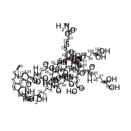 C#CCN(Cc1ccc2nc(N)[nH]c(=O)c2c1)c1ccc(C(=O)NC(CCC(=O)OCCSSCC(NC(=O)C(CCC(=O)NCCCC[C@H](O)CO)NC(=O)C(CCC(=O)O)NC(=O)C(CCC(=O)NCCCC[C@H](O)CO)NC(=O)C(CCC(=O)O)NC(=O)C(CCC(=O)NCCCC[C@H](O)CO)NC(=O)CCSSCCOC(N)=O)C(=O)O)C(=O)O)cc1